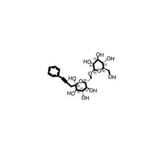 OC[C@H]1O[C@@H](OC[C@H]2O[C@](O)(CC#Cc3ccccc3)[C@H](O)[C@@H](O)[C@@H]2O)[C@H](O)[C@@H](O)[C@@H]1O